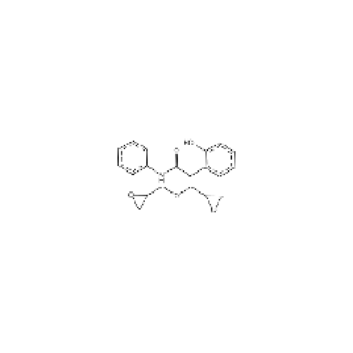 C(OCC1CO1)C1CO1.O=C(Cc1ccccc1O)Nc1ccccc1